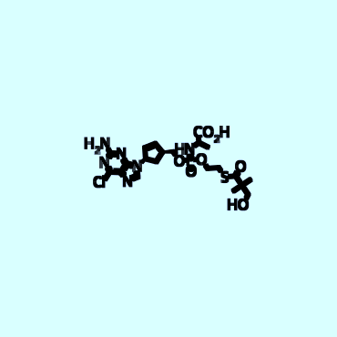 CC(NP(=O)(OCCSC(=O)C(C)(C)CO)OC[C@@H]1C=C[C@H](n2cnc3c(Cl)nc(N)nc32)C1)C(=O)O